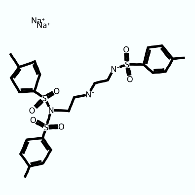 Cc1ccc(S(=O)(=O)[N-]CC[N-]CCN(S(=O)(=O)c2ccc(C)cc2)S(=O)(=O)c2ccc(C)cc2)cc1.[Na+].[Na+]